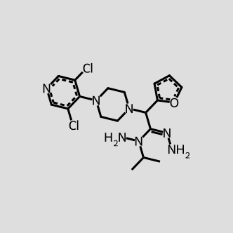 CC(C)N(N)/C(=N\N)C(c1ccco1)N1CCN(c2c(Cl)cncc2Cl)CC1